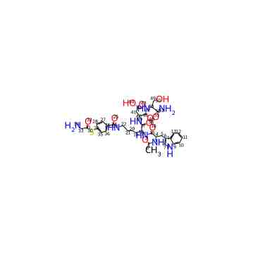 CC(=O)NC(Cc1c[nH]c2ccccc12)C(=O)NC(CCCCNC(=O)c1ccc(SC(=O)CN)cc1)C(=O)NC(CC(=O)O)C(=O)NC(CO)C(N)=O